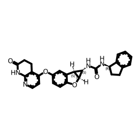 O=C1CCc2c(Oc3ccc4c(c3)[C@H]3[C@H](NC(=O)N[C@@H]5CCc6ccccc65)[C@H]3O4)ccnc2N1